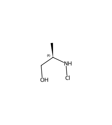 C[C@H](CO)NCl